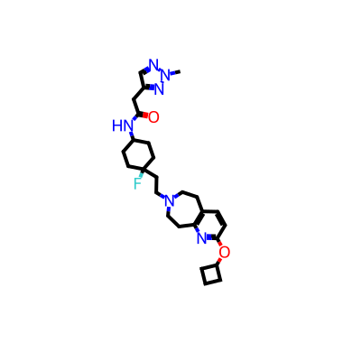 Cn1ncc(CC(=O)NC2CCC(F)(CCN3CCc4ccc(OC5CCC5)nc4CC3)CC2)n1